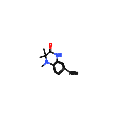 CNc1ccc2c(c1)NC(=O)C(C)(C)N2C